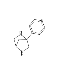 c1cc(C23CNC(CN2)C3)ccn1